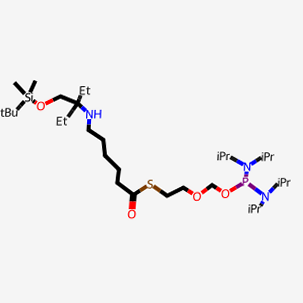 CCC(CC)(CO[Si](C)(C)C(C)(C)C)NCCCCCC(=O)SCCOCOP(N(C(C)C)C(C)C)N(C(C)C)C(C)C